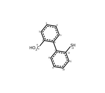 O=C(O)c1ccccc1-c1ccccc1S